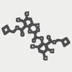 O=C(Oc1c(Cl)cc(Cl)c(Cl)c1C(=O)OCC1CCC1)C(=O)Oc1c(Cl)cc(Cl)c(Cl)c1C(=O)OCC1CCC1